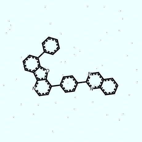 c1ccc(-c2cccc3c2oc2c(-c4ccc(-c5ncc6ccccc6n5)cc4)ccnc23)cc1